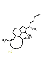 CCCCC1CCC[C@H](S)C/C(C)=C/C(CC(C)C)C1C1CCC([C@H](C)CCCC(C)C)[C@H]1C